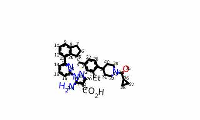 CCc1cc(C[C@H]2CCc3cccc(-c4cccc(-n5ncc(C(=O)O)c5N)n4)c32)ccc1C1CCN(C(=O)C2CC2)CC1